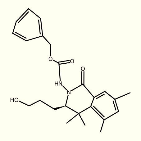 Cc1cc(C)c2c(c1)C(=O)N(NC(=O)OCc1ccccc1)[C@H](CCCO)C2(C)C